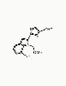 COCn1c(-c2ncc(C=O)s2)cc2cccc(N)c21